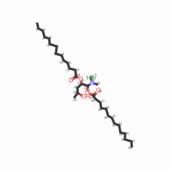 Br.CCCCCCCCCCCCCC(=O)OC(CC(C)O)C(OC(=O)CCCCCCCCCCCCC)N(C)C